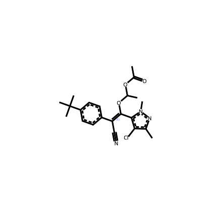 CC(=O)OC(C)O/C(=C(/C#N)c1ccc(C(C)(C)C)cc1)c1c(Cl)c(C)nn1C